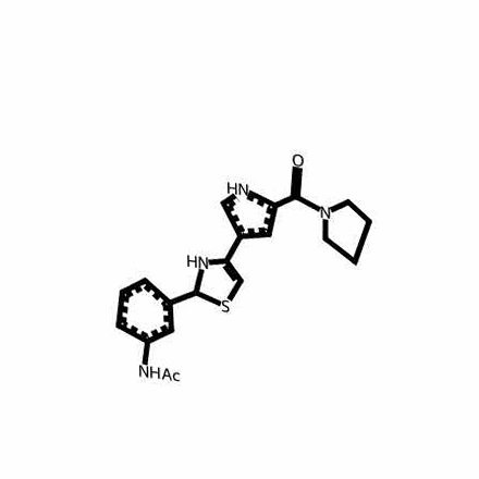 CC(=O)Nc1cccc(C2NC(c3c[nH]c(C(=O)N4CCCC4)c3)=CS2)c1